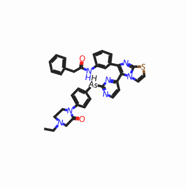 CCN1CCN(c2ccc([AsH]c3nccc(-c4c(-c5cccc(NC(=O)Cc6ccccc6)c5)nc5sccn45)n3)cc2)C(=O)C1